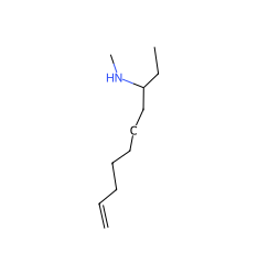 C=CCCCCCC(CC)NC